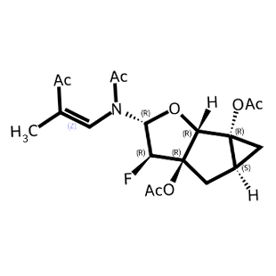 CC(=O)O[C@]12C[C@H]1C[C@@]1(OC(C)=O)[C@@H]2O[C@@H](N(/C=C(/C)C(C)=O)C(C)=O)[C@@H]1F